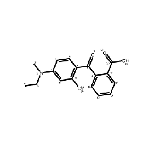 CCN(C)c1ccc(C(=O)c2ccccc2C(=O)O)c(O)c1